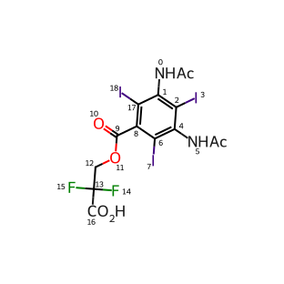 CC(=O)Nc1c(I)c(NC(C)=O)c(I)c(C(=O)OCC(F)(F)C(=O)O)c1I